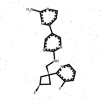 Nc1nccc(-c2cnc(NC[C@]3(c4ncccc4F)C[C@H](F)C3)nc2)n1